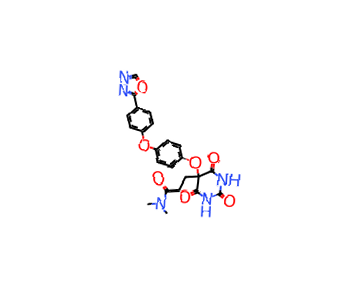 CN(C)C(=O)CCC1(Oc2ccc(Oc3ccc(-c4nnco4)cc3)cc2)C(=O)NC(=O)NC1=O